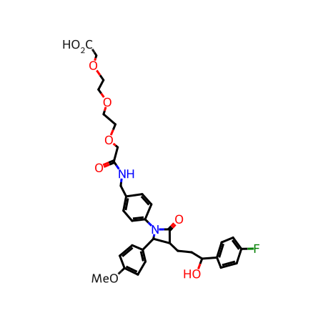 COc1ccc(C2C(CCC(O)c3ccc(F)cc3)C(=O)N2c2ccc(CNC(=O)COCCOCCOCC(=O)O)cc2)cc1